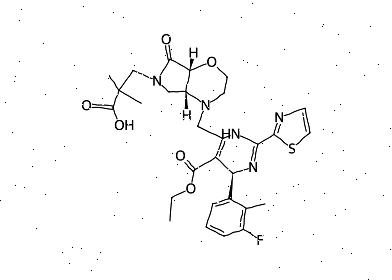 CCOC(=O)C1=C(CN2CCO[C@H]3C(=O)N(CC(C)(C)C(=O)O)C[C@H]32)NC(c2nccs2)=N[C@H]1c1cccc(F)c1C